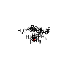 CCCCOC(=O)c1ccccc1NC(=O)N[C@]1(C)C[C@@H](C(=O)N[C@@H](CC)B2O[C@@H]3C[C@@H]4C[C@@H](C4(C)C)[C@]3(C)O2)n2c1ncc(NCc1cccc(C(F)(F)F)c1)c2=O